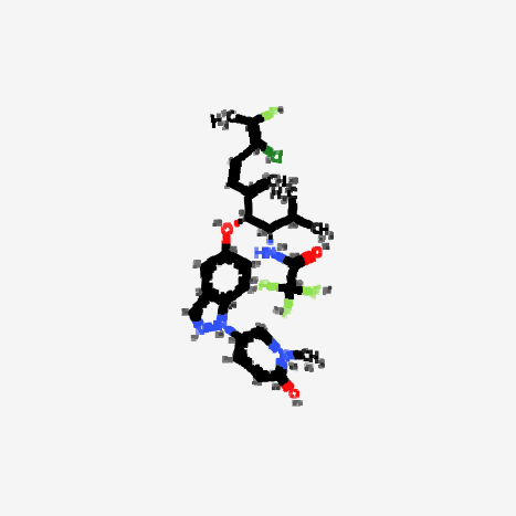 C=C(/C=C\C(Cl)=C(/C)F)[C@@H](Oc1ccc2c(cnn2-c2ccc(=O)n(C)c2)c1)[C@@H](NC(=O)C(F)(F)F)C(C)C